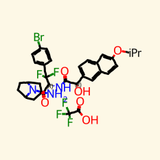 CC(C)Oc1ccc2cc([C@@H](O)C(=O)N[C@H](C(=O)N3C4CCC3CC(N)C4)C(F)(F)c3ccc(Br)cc3)ccc2c1.O=C(O)C(F)(F)F